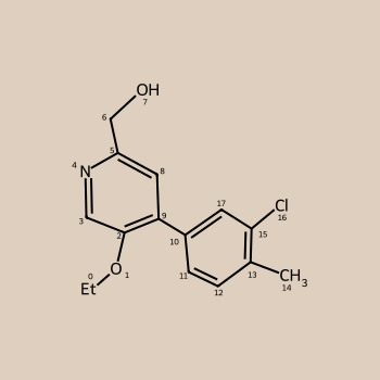 CCOc1cnc(CO)cc1-c1ccc(C)c(Cl)c1